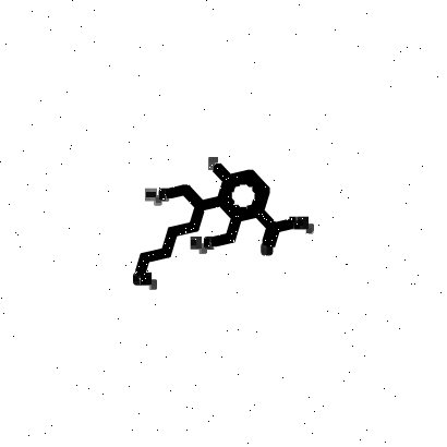 CCCCCC(CC)c1c(F)ccc(C(N)=O)c1CC